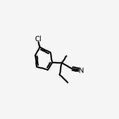 CCC(C)(C#N)c1cccc(Cl)c1